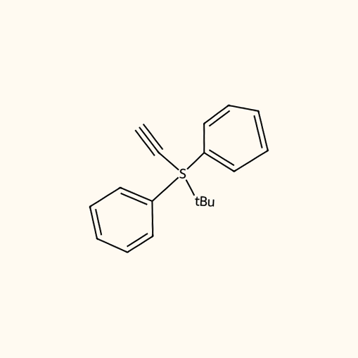 C#CS(c1ccccc1)(c1ccccc1)C(C)(C)C